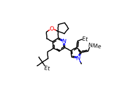 CC/C=c1/c(-c2cc(CCC(C)(C)CC)c3c(n2)C2(CCCC2)OCC3)cn(C)/c1=C/NC